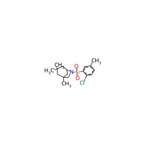 Cc1ccc(Cl)c(S(=O)(=O)N2CC3(C)CC2CC(C)(C)C3)c1